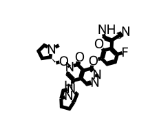 CN1CCC[C@H]1COn1cc(N2CC3CCC(C2)N3)c2cnnc(Oc3ccc(F)c4c(C#N)c(N)oc34)c2c1=O